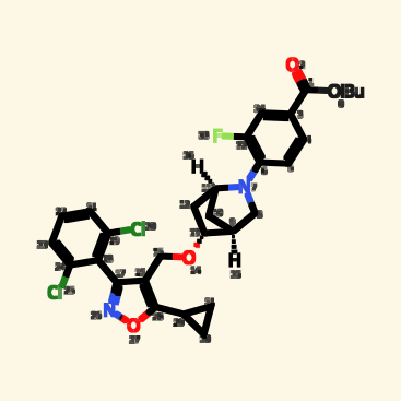 CC(C)COC(=O)c1ccc(N2C[C@@H]3C[C@H]2C[C@H]3OCc2c(-c3c(Cl)cccc3Cl)noc2C2CC2)c(F)c1